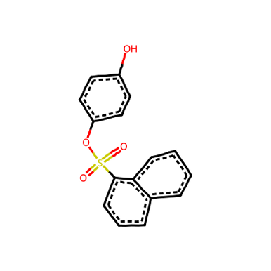 O=S(=O)(Oc1ccc(O)cc1)c1cccc2ccccc12